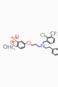 CS(=O)(=O)c1cc(OCCCN(CCc2ccccc2)Cc2cccc(C(F)(F)F)c2Cl)ccc1C=O